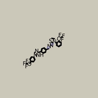 FC(F)(F)Oc1ccc(N2C=NC(c3ccc(/C=N/N=C4\SCCN4c4ccccc4OC(F)(F)F)cc3)N2)cc1